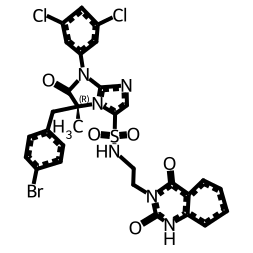 C[C@@]1(Cc2ccc(Br)cc2)C(=O)N(c2cc(Cl)cc(Cl)c2)c2ncc(S(=O)(=O)NCCn3c(=O)[nH]c4ccccc4c3=O)n21